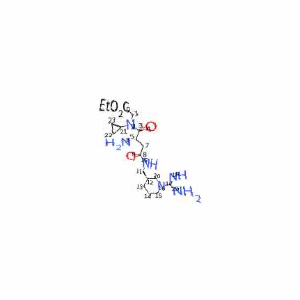 CCOC(=O)CN(C(=O)[C@@H](N)CC(=O)NC[C@@H]1CCCN(C(=N)N)C1)C1CC1